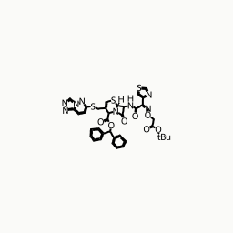 CC(C)(C)OC(=O)CO/N=C(\C(=O)NC1C(=O)N2C(C(=O)OC(c3ccccc3)c3ccccc3)C(CSc3ccc4nncn4n3)=CS[C@H]12)c1cscn1